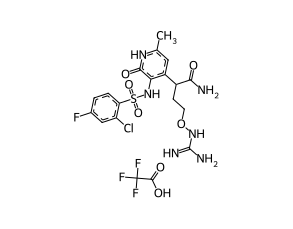 Cc1cc(C(CCONC(=N)N)C(N)=O)c(NS(=O)(=O)c2ccc(F)cc2Cl)c(=O)[nH]1.O=C(O)C(F)(F)F